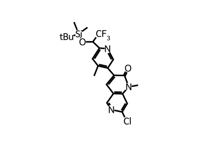 Cc1cc(C(O[Si](C)(C)C(C)(C)C)C(F)(F)F)ncc1-c1cc2cnc(Cl)cc2n(C)c1=O